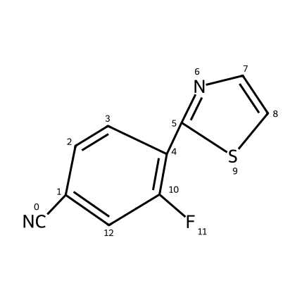 N#Cc1ccc(-c2nccs2)c(F)c1